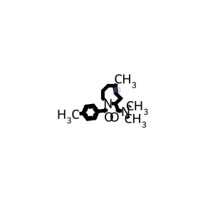 C/C1=C\CC(C(=O)N(C)C)N(C(=O)c2ccc(C)cc2)CCC1